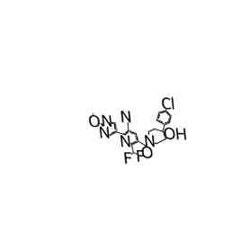 COc1ncc(-c2nc(C(F)F)c(C(=O)N3CCC(O)(c4ccc(Cl)cc4)CC3)cc2C#N)cn1